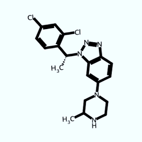 CC1CN(c2ccc3nnn([C@H](C)c4ccc(Cl)cc4Cl)c3c2)CCN1